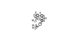 CC(C)N1CCOc2c(F)cc(-c3nc(Nc4ccc(N5CCC(CN(C)C)CC5)cn4)ncc3F)nc21